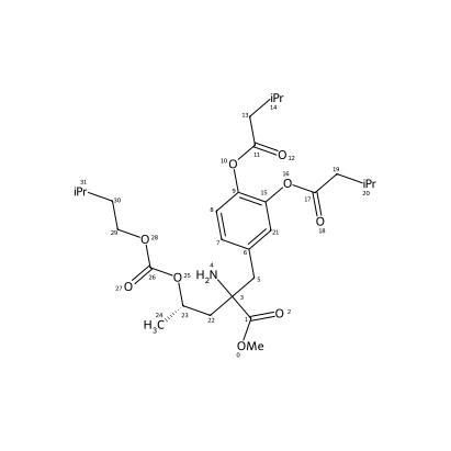 COC(=O)C(N)(Cc1ccc(OC(=O)CC(C)C)c(OC(=O)CC(C)C)c1)C[C@H](C)OC(=O)OCCC(C)C